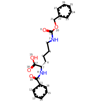 O=C(NCCCC[C@H](NC(=O)c1ccccc1)C(=O)O)OCc1ccccc1